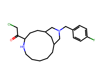 O=C(CCl)C1CCC2CC(CCCCCN1)CN(Cc1ccc(F)cc1)C2